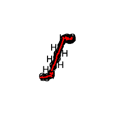 C=C(C)C(=O)OCCNC(=O)OCCC[Si](C)(C)OC(C)(C)[Si](C)(C)CCCCCCCOC(=O)NCCCCCCNC(=O)OCCOC(=O)NCCCCCCNCOCCCCOCCC[Si](C)(C)O[Si](C)(C)[Si](=O)[Si](=O)[Si](=O)[Si](=O)[Si](=O)[Si](=O)[Si](=O)[Si](=O)[SiH]=O